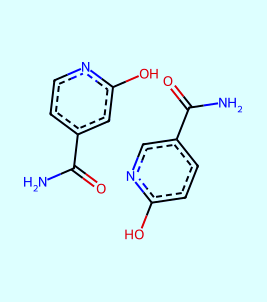 NC(=O)c1ccc(O)nc1.NC(=O)c1ccnc(O)c1